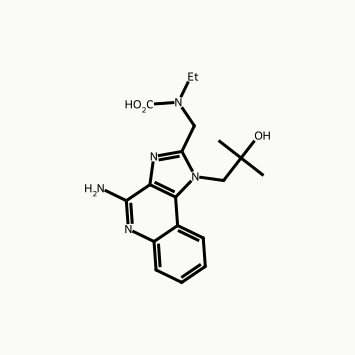 CCN(Cc1nc2c(N)nc3ccccc3c2n1CC(C)(C)O)C(=O)O